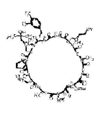 CC[C@H](C)[C@@H]1NC(=O)[C@H](CC(C)C)N(C)C(=O)C[C@@H](C)NC(=O)[C@H](CC(C)C)N(C)C(=O)C2(CCCC2)NC(=O)[C@H](COCC(C)(C)O)N(C)C(=O)[C@H](CCc2ccc(C(F)(F)F)c(Cl)c2)NC(=O)CN(C)C(=O)[C@H](COCCC(C)C)N(C)C(=O)CN(C)C(=O)CN(CC)C1=O